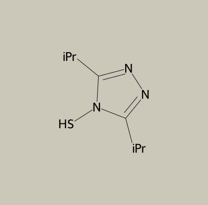 CC(C)c1nnc(C(C)C)n1S